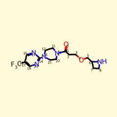 O=C(CCOCC1CCN1)N1CCN(c2ncc(C(F)(F)F)cn2)CC1